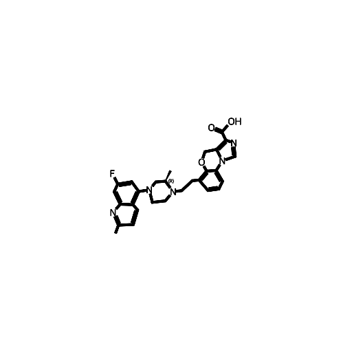 Cc1ccc2c(N3CCN(CCc4cccc5c4OCc4c(C(=O)O)ncn4-5)[C@H](C)C3)cc(F)cc2n1